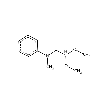 CO[SiH](CN(C)c1ccccc1)OC